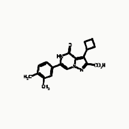 Cc1ccc(-c2cn3nc(C(=O)O)c(C4CCC4)c3c(=O)[nH]2)cc1C